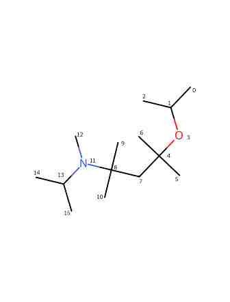 CC(C)OC(C)(C)CC(C)(C)N(C)C(C)C